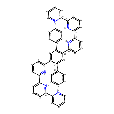 c1ccc(-c2cc(-c3cccc(-c4cccc(-c5ccccn5)n4)n3)c(-c3ccccc3)cc2-c2cccc(-c3cccc(-c4ccccn4)n3)n2)cc1